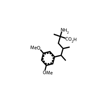 COc1cc(OC)cc(C(C)C(C)CC(C)(N)C(=O)O)c1